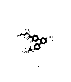 CCCCCCCCCCC(=O)Oc1ccc(-c2ccc(C(=O)O)cc2-c2ccc(C(=O)O[C@H](C)CCC(C)C)c(F)c2)cc1